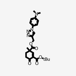 CN(C)c1ccc(-n2cc(COC(=O)C3(C)C=C(C(=O)OC(C)(C)C)C(=O)CC3)nn2)cc1